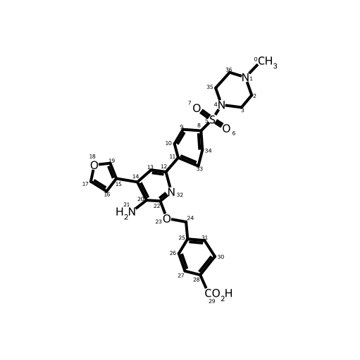 CN1CCN(S(=O)(=O)c2ccc(-c3cc(-c4ccoc4)c(N)c(OCc4ccc(C(=O)O)cc4)n3)cc2)CC1